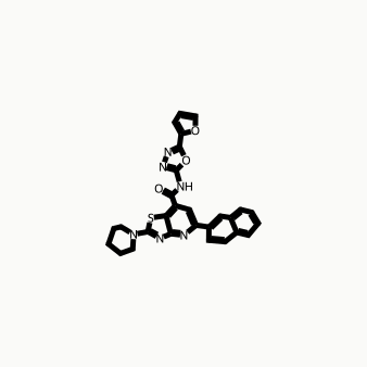 O=C(Nc1nnc(-c2ccco2)o1)c1cc(-c2ccc3ccccc3c2)nc2nc(N3CCCCC3)sc12